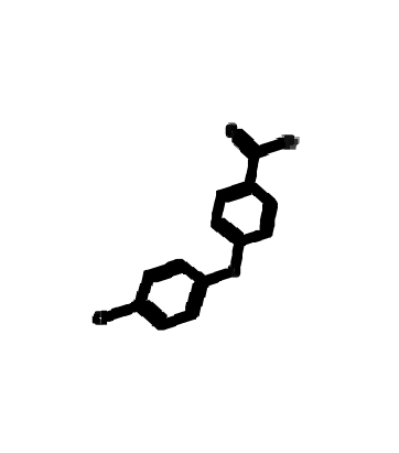 CC(C)C(=O)c1ccc(Oc2ccc(Cl)cc2)cc1